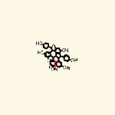 Oc1ccc(C2Oc3cc(O)c4c5c3C2c2cc(O)cc(O)c2C(c2ccc(O)cc2)C5C(c2cc(O)cc(O)c2)C4c2ccc(O)cc2)cc1